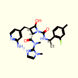 CC[C@@H](NC(=O)N1C(O)[C@H](Cc2ccnc(N)c2)[C@H]1C(=O)N(C)c1nccn1C)c1ccc(C)cc1F